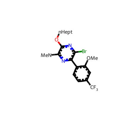 CCCCCCCOc1nc(Br)c(-c2ccc(C(F)(F)F)cc2OC)nc1NC